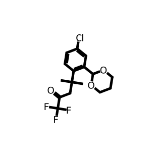 CC(C)(CC(=O)C(F)(F)F)c1ccc(Cl)cc1C1OCCCO1